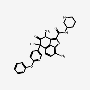 Nc1ccc2c3c(c(C(=O)NC4CCCNC4)sc13)C(N)C(=O)C2(N)c1ccc(Oc2ccccc2)nc1